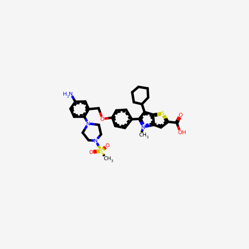 Cn1c(-c2ccc(OCc3cc(N)ccc3N3CCN(S(C)(=O)=O)CC3)cc2)c(C2CCCCC2)c2sc(C(=O)O)cc21